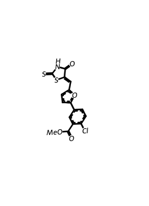 COC(=O)c1cc(-c2ccc(/C=C3\SC(=S)NC3=O)o2)ccc1Cl